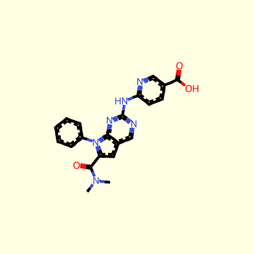 CN(C)C(=O)c1cc2cnc(Nc3ccc(C(=O)O)cn3)nc2n1-c1ccccc1